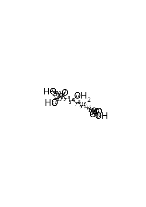 O.O=C(CCCCCCCCCCCOS(=O)(=O)O)N(CCO)CCO